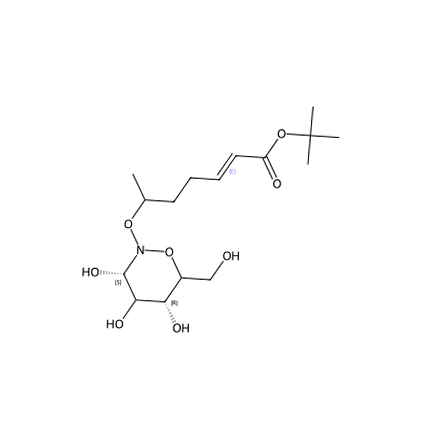 CC(CC/C=C/C(=O)OC(C)(C)C)ON1OC(CO)[C@H](O)C(O)[C@@H]1O